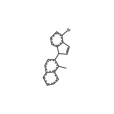 Cc1c(C2C=Cc3c(Br)cccc32)ccc2ccccc12